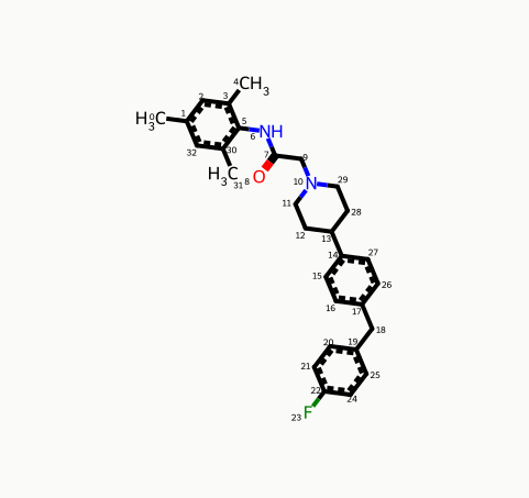 Cc1cc(C)c(NC(=O)CN2CCC(c3ccc(Cc4ccc(F)cc4)cc3)CC2)c(C)c1